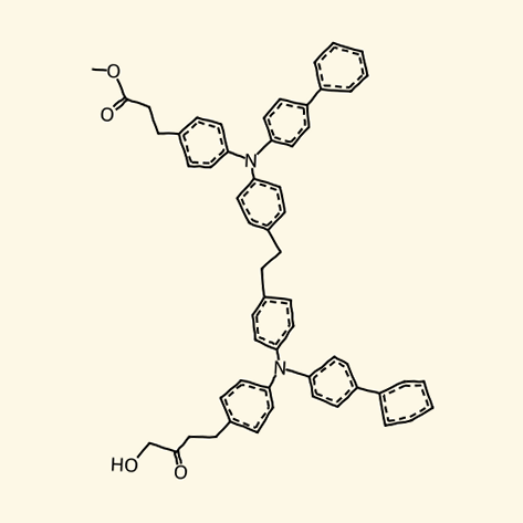 COC(=O)CCc1ccc(N(c2ccc(CCc3ccc(N(c4ccc(CCC(=O)CO)cc4)c4ccc(-c5ccccc5)cc4)cc3)cc2)c2ccc(-c3ccccc3)cc2)cc1